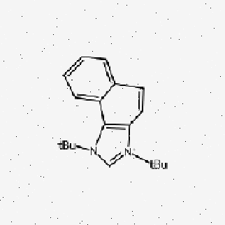 CC(C)(C)n1c[n+](C(C)(C)C)c2ccc3ccccc3c21